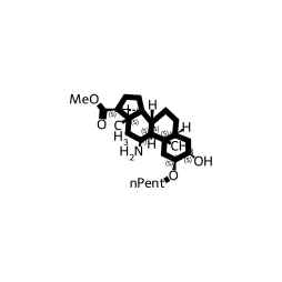 CCCCCO[C@H]1C[C@@]2(C)[C@@H](CC[C@@H]3[C@@H]2[C@H](N)C[C@]2(C)[C@@H](C(=O)OC)CC[C@@H]32)C[C@@H]1O